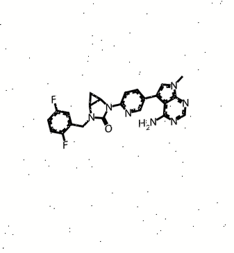 Cn1cc(-c2ccc(N3C(=O)N(Cc4cc(F)ccc4F)C4CC43)nc2)c2c(N)ncnc21